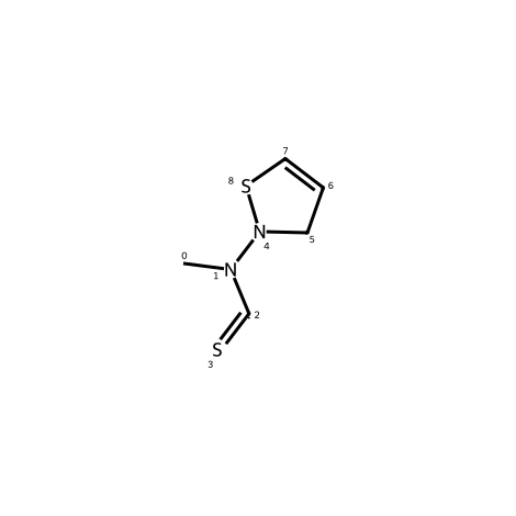 CN([C]=S)N1CC=CS1